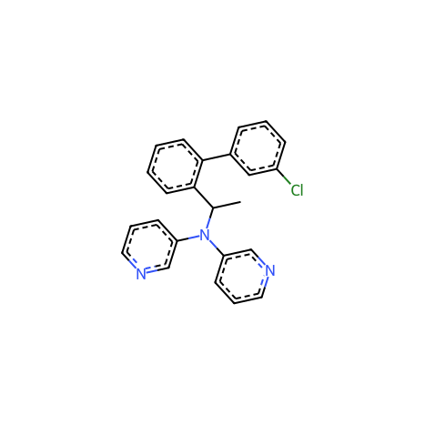 CC(c1ccccc1-c1cccc(Cl)c1)N(c1cccnc1)c1cccnc1